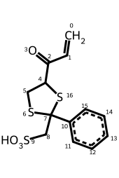 C=CC(=O)C1CSC(CS(=O)(=O)O)(c2ccccc2)S1